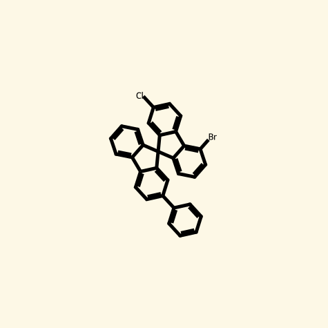 Clc1ccc2c(c1)C1(c3ccccc3-c3ccc(-c4ccccc4)cc31)c1cccc(Br)c1-2